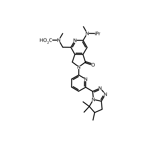 CC(C)N(C)c1cc2c(c(CN(C)C(=O)O)n1)CN(c1cccc(-c3nnc4n3C(C)(C)C(C)C4)n1)C2=O